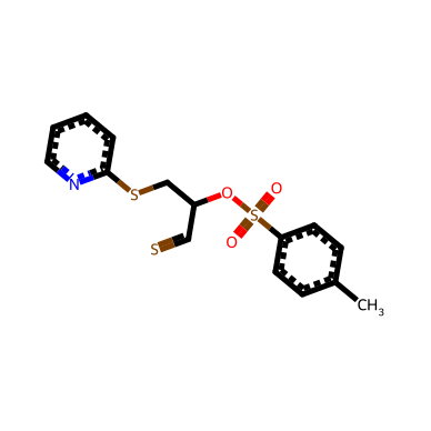 Cc1ccc(S(=O)(=O)OC(C=S)CSc2ccccn2)cc1